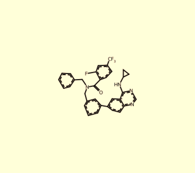 O=C(c1ccc(C(F)(F)F)cc1F)N(Cc1ccccc1)Cc1cccc(-c2ccc3ncnc(NC4CC4)c3c2)c1